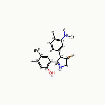 CCN(C)c1cc(C2C(=S)CN=C2c2cc(C(C)C)c(C)cc2O)ccc1C